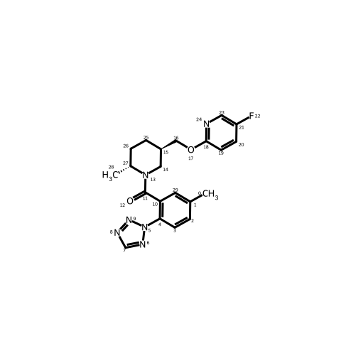 Cc1ccc(-n2ncnn2)c(C(=O)N2C[C@H](COc3ccc(F)cn3)CC[C@H]2C)c1